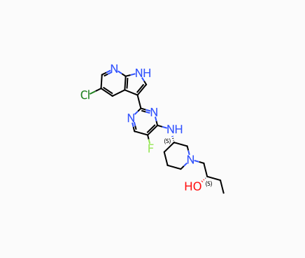 CC[C@H](O)CN1CCC[C@H](Nc2nc(-c3c[nH]c4ncc(Cl)cc34)ncc2F)C1